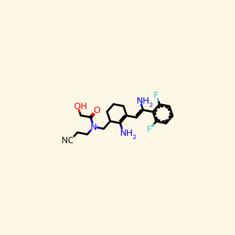 N#CCCN(CC1CCCC(/C=C(\N)c2c(F)cccc2F)=C1N)C(=O)CO